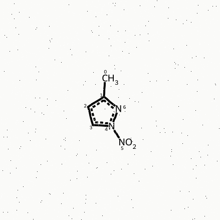 Cc1ccn([N+](=O)[O-])n1